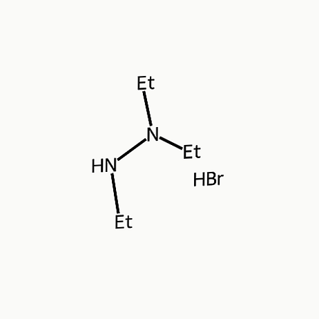 Br.CCNN(CC)CC